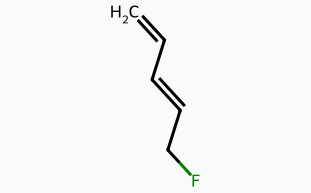 C=CC=CCF